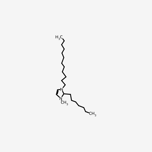 CCCCCCCCCCCCN1C=CN(C)C1CCCCCCC